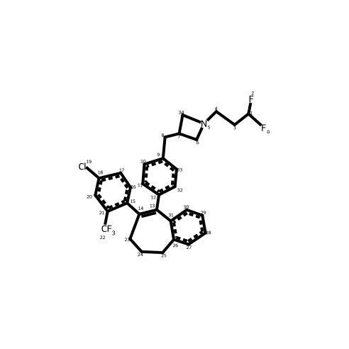 FC(F)CCN1CC(Cc2ccc(C3=C(c4ccc(Cl)cc4C(F)(F)F)CCCc4ccccc43)cc2)C1